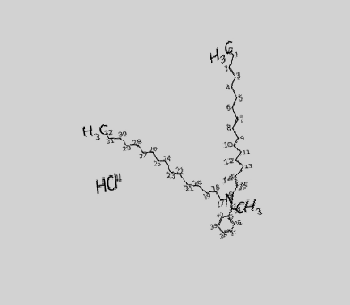 CCCCCCCCCCCCCCCCN(CCCCCCCCCCCCCCCC)C(C)c1ccccc1.Cl